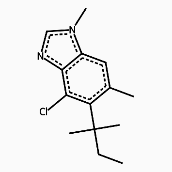 CCC(C)(C)c1c(C)cc2c(ncn2C)c1Cl